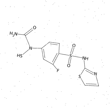 NC(=O)N(S)c1ccc(S(=O)(=O)Nc2nccs2)c(F)c1